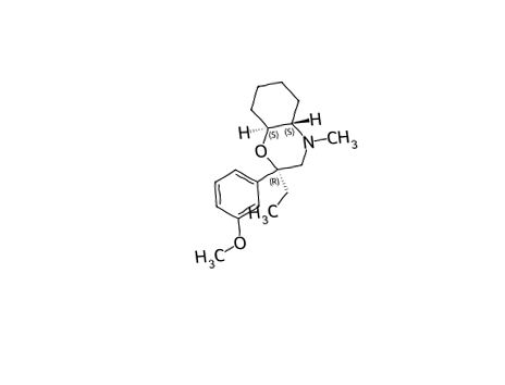 CC[C@@]1(c2cccc(OC)c2)CN(C)[C@H]2CCCC[C@@H]2O1